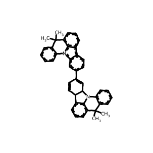 CC1(C)c2ccccc2N2c3c(cccc31)C1C=CC(c3ccc4c5cccc6c5n(c4c3)-c3ccccc3C6(C)C)=CC12